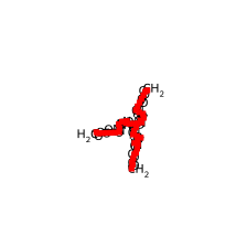 C=CC(=O)OCCOC(=O)CCCc1nc(-c2cccc(-c3noc(-c4cc(-c5nc(-c6cccc(-c7noc(CCCC(=O)OCCOC(=O)C=C)n7)c6)no5)cc(-c5nc(-c6cccc(-c7noc(CCCC(=O)OCCOC(=O)C=C)n7)c6)no5)c4)n3)c2)no1